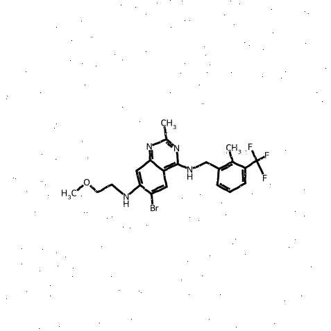 COCCNc1cc2nc(C)nc(NCc3cccc(C(F)(F)F)c3C)c2cc1Br